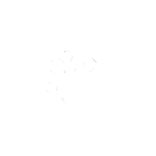 CC(C)(C)c1ccc(C(=O)c2cccc(N)c2NC(=O)c2cccc(C#N)c2)cc1